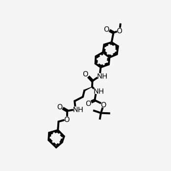 COC(=O)c1ccc2cc(NC(=O)[C@H](CCCNC(=O)OCc3ccccc3)NC(=O)OC(C)(C)C)ccc2c1